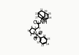 O=C(CC1CCCN1S(=O)(=O)c1ccccc1)NC12CC3CC(CC(C3)C1)C2